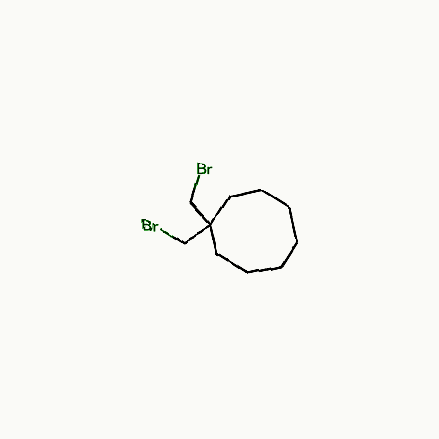 BrCC1(CBr)CCCCCCC1